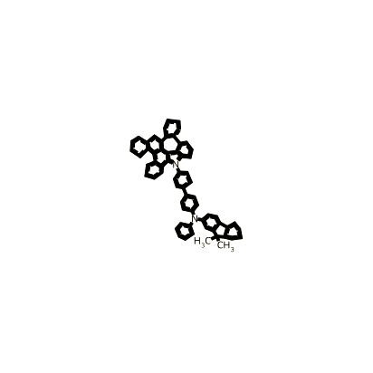 CC1(C)c2ccccc2-c2ccc(N(c3ccccc3)c3ccc(-c4ccc(-n5c6cccc7c6c6c8c(cc9ccccc9c8c8ccccc8c65)-c5ccccc5-7)cc4)cc3)cc21